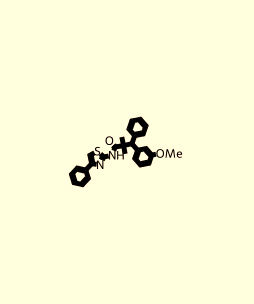 COc1cccc(C(c2ccccc2)C(C)(C)C(=O)Nc2nc(-c3ccccc3)cs2)c1